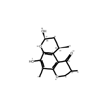 Cc1c(O)c2c(c3c1OCC(C)C3=O)[C@H](C)C[C@H](O)O2